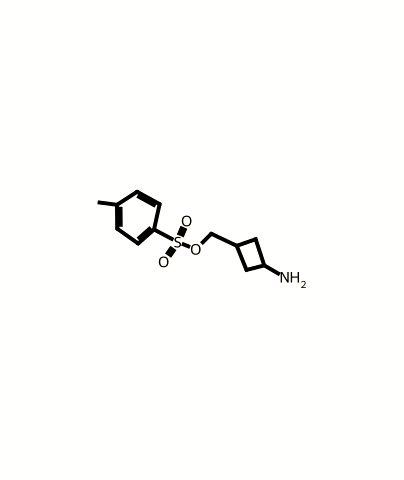 Cc1ccc(S(=O)(=O)OCC2CC(N)C2)cc1